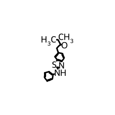 CC(C)C(=O)Cc1ccc2nc(Nc3ccccc3)sc2c1